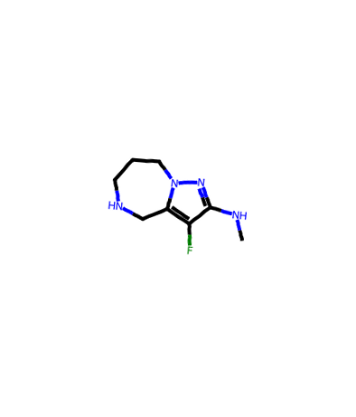 CNc1nn2c(c1F)CNCCC2